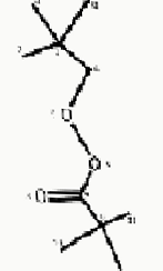 CC(C)(C)COOC(=O)C(C)(C)C